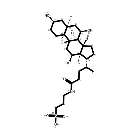 CC(CCC(=O)NCCCS(=O)(=O)O)[C@H]1CC[C@H]2[C@@H]3[C@H](O)C[C@@H]4C[C@H](O)CC[C@]4(C)[C@H]3C[C@H](O)[C@]12C